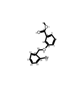 COC(=O)c1cccc(OCc2ccccc2Br)c1